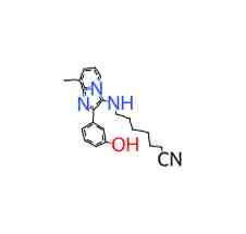 Cc1cccn2c(NCCCCCCC#N)c(-c3cccc(O)c3)nc12